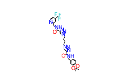 CC1(C)Oc2ccc(CNC(=O)c3cn(CCCCn4cc(C(=O)NCc5cc(C(F)(F)F)ccn5)nn4)nn3)cc2O1